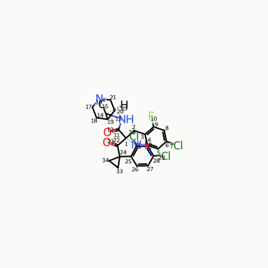 N[C@@](Cc1ccc(Cl)cc1F)(C(=O)N[C@@H]1CN2CCC1CC2)C(=O)C1(c2ccc(Cl)cc2Cl)CC1